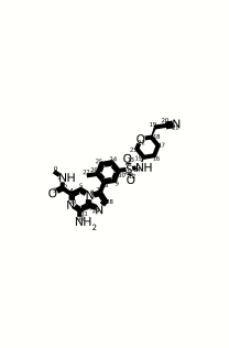 CNC(=O)c1cn2c(-c3cc(S(=O)(=O)N[C@H]4CC[C@H](CC#N)OC4)ccc3C)cnc2c(N)n1